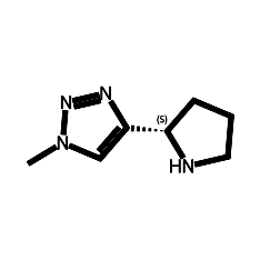 Cn1cc([C@@H]2CCCN2)nn1